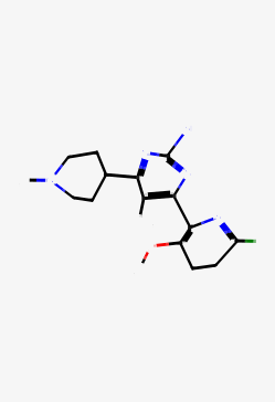 COC1=C(c2nc(N)nc(C3CCN(C)CC3)c2C)N=C(Br)CC1